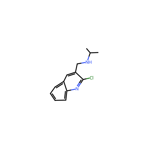 CC(C)NCc1cc2ccccc2nc1Cl